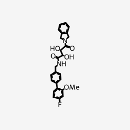 COc1cc(F)ccc1-c1ccc(CNC(=O)[C@H](O)[C@@H](O)C(=O)N2Cc3ccccc3C2)cc1